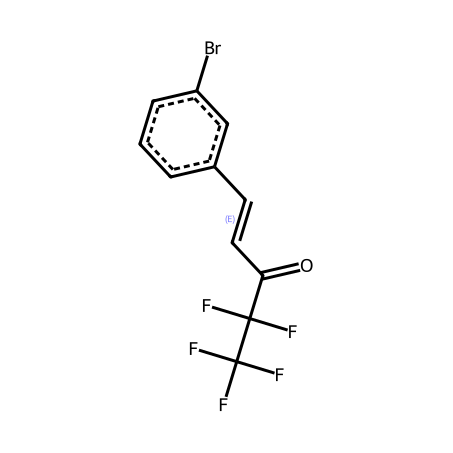 O=C(/C=C/c1cccc(Br)c1)C(F)(F)C(F)(F)F